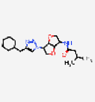 CC(C)CC(=O)NC1COC2C1OCC2n1cc(CC2CCCCC2)nn1